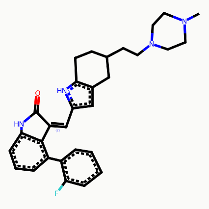 CN1CCN(CCC2CCc3[nH]c(/C=C4\C(=O)Nc5cccc(-c6ccccc6F)c54)cc3C2)CC1